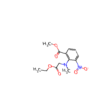 CCOC(=O)CN(C)c1c(C(=O)OC)cccc1[N+](=O)[O-]